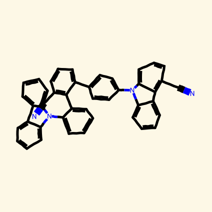 N#Cc1cccc(-c2ccc(-n3c4ccccc4c4c(C#N)cccc43)cc2)c1-c1ccccc1-n1c2ccccc2c2ccccc21